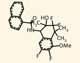 COc1c(F)c(F)cc2c1C(C)(C)C(F)(F)C(C)(O)C2NC(=O)c1cccc2ccccc12